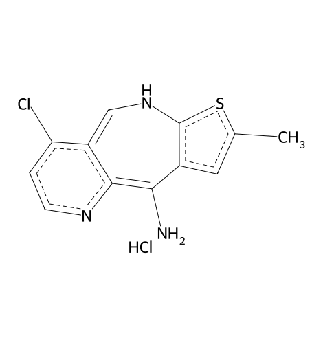 Cc1cc2c(s1)NC=c1c(Cl)ccnc1=C2N.Cl